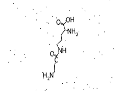 NCCCC(=O)NCCCC(N)C(=O)O